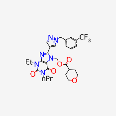 CCCn1c(=O)c2c(nc(-c3cnn(Cc4cccc(C(F)(F)F)c4)c3)n2COC(=O)C2CCOCC2)n(CC)c1=O